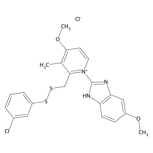 COc1ccc2[nH]c(-[n+]3ccc(OC)c(C)c3CSSc3cccc(Cl)c3)nc2c1.[Cl-]